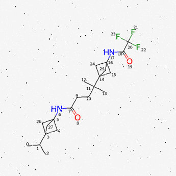 CC(C)C12CC(NC(=O)CCC(C)(C)C34CC(NC(=O)C(F)(F)F)(C3)C4)(C1)C2